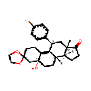 C[C@]12C[C@H](c3ccc(Br)cc3)C3=C4CCC5(C[C@]4(O)CC[C@H]3[C@@H]1CCC2=O)OCCO5